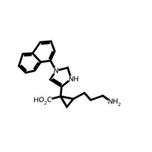 NCCCC1CC1(C(=O)O)C1=CN(c2cccc3ccccc23)CN1